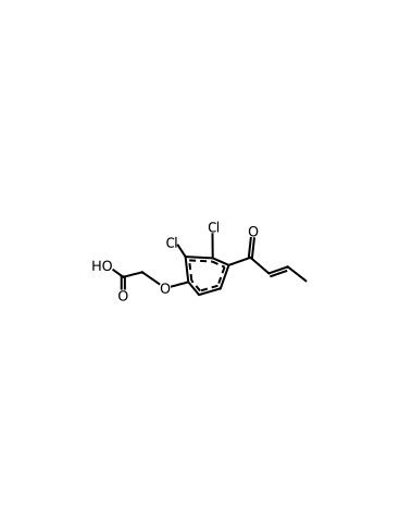 CC=CC(=O)c1ccc(OCC(=O)O)c(Cl)c1Cl